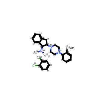 COc1ccccc1N1CCN(C2Cc3ccccc3C2N(C)C(C)=O)CC1.Clc1ccccc1Cl